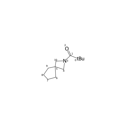 CC(C)(C)C(=O)N1CC2(CCCC2)C1